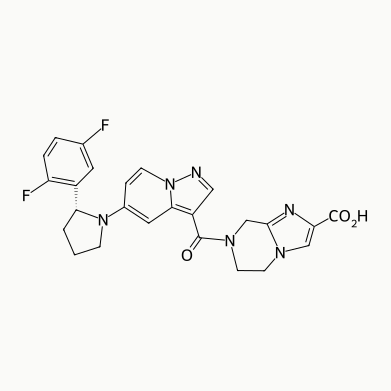 O=C(O)c1cn2c(n1)CN(C(=O)c1cnn3ccc(N4CCC[C@@H]4c4cc(F)ccc4F)cc13)CC2